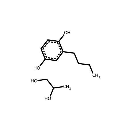 CC(O)CO.CCCCc1cc(O)ccc1O